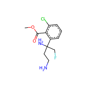 COC(=O)c1c(Cl)cccc1C(N)(CF)CCN